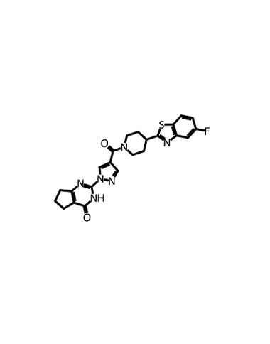 O=C(c1cnn(-c2nc3c(c(=O)[nH]2)CCC3)c1)N1CCC(c2nc3cc(F)ccc3s2)CC1